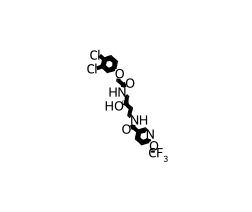 O=C(COc1ccc(Cl)c(Cl)c1)NC[C@@H](O)CCNC(=O)c1ccc(OC(F)(F)F)nc1